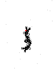 N#Cc1cc2c(cc1C#N)C(=O)C(=Cc1cc3sc4c(c3s1)C1(CCCCC1)c1c-4sc3cc(C=C4C(=O)c5cc(C#N)c(C#N)cc5C4=O)sc13)C2=O